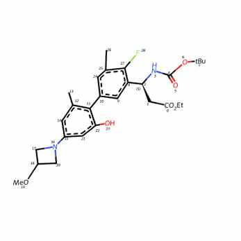 CCOC(=O)C[C@H](NC(=O)OC(C)(C)C)c1cc(-c2c(C)cc(N3CC(OC)C3)cc2O)cc(C)c1F